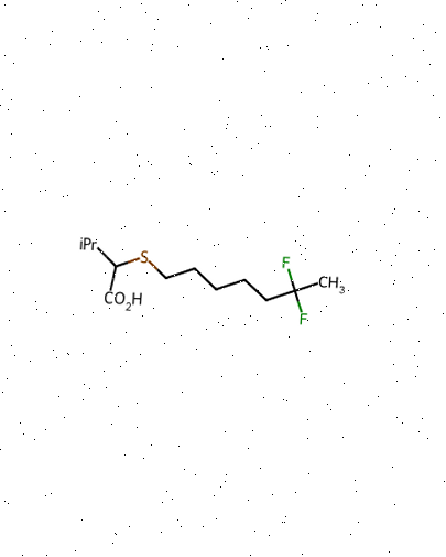 CC(C)C(SCCCCCC(C)(F)F)C(=O)O